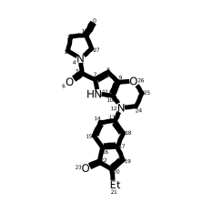 C=C1CCN(C(=O)c2cc3c([nH]2)N(c2ccc4c(c2)C=C(CC)C4=O)CCO3)C1